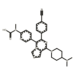 CN(C(=O)O)c1ccc(-c2c(-c3ccc(C#N)cc3)nc(N3CCC(N(C)C)CC3)c3cncn23)cn1